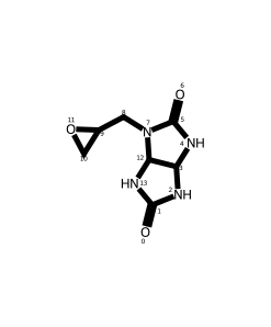 O=C1NC2NC(=O)N(CC3CO3)C2N1